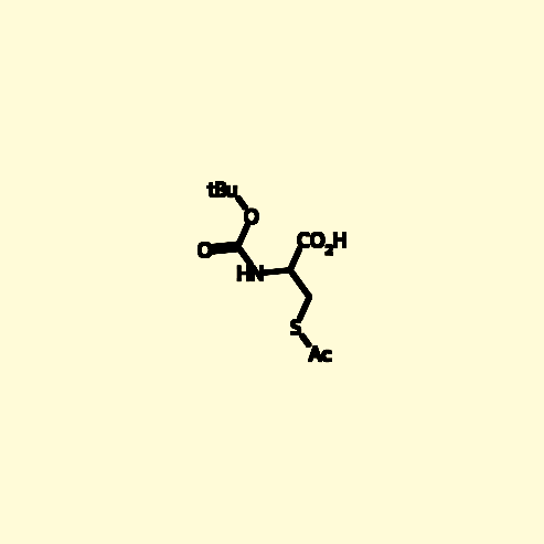 CC(=O)SCC(NC(=O)OC(C)(C)C)C(=O)O